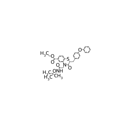 CCOC(=O)c1ccc2c(c1)N(CC(=O)NOC(C)(C)C)C(=O)C(Cc1ccc(Oc3ccccc3)cc1)S2